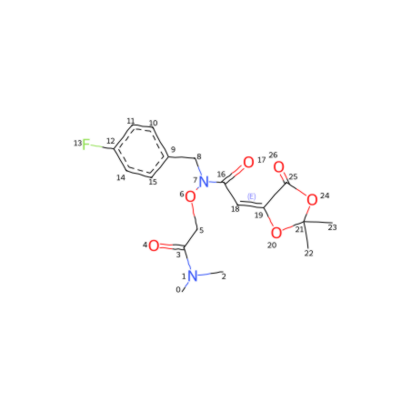 CN(C)C(=O)CON(Cc1ccc(F)cc1)C(=O)/C=C1/OC(C)(C)OC1=O